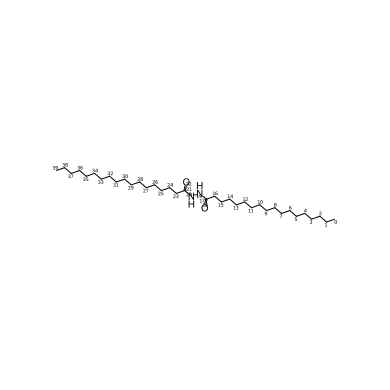 CCCCCCCCCCCCCCCCCC(=O)NNC(=O)CCCCCCCCCCCCCCCCC